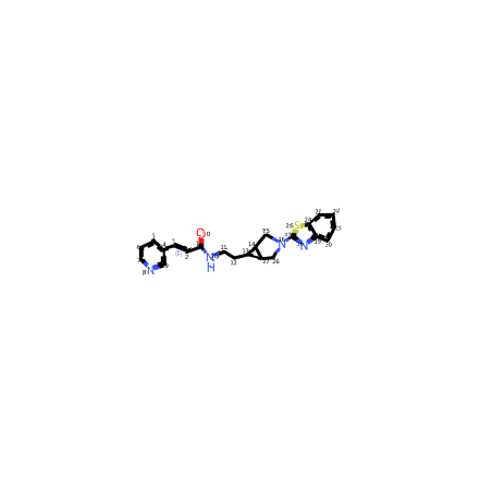 O=C(/C=C/c1cccnc1)NCCC1C2CN(c3nc4ccccc4s3)CC12